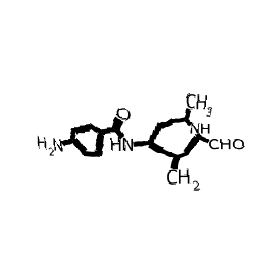 C=C1/C=C(/C=O)NC(C)/C=C\C(NC(=O)c2ccc(N)cc2)=C/1